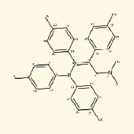 Cc1ccc(B(/C(=C(\CN(C)C)c2ccc(C)cc2)c2ccc(C)cc2)c2ccc(C)cc2)cc1